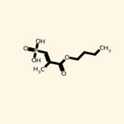 CCCCOC(=O)C(C)=CP(=O)(O)O